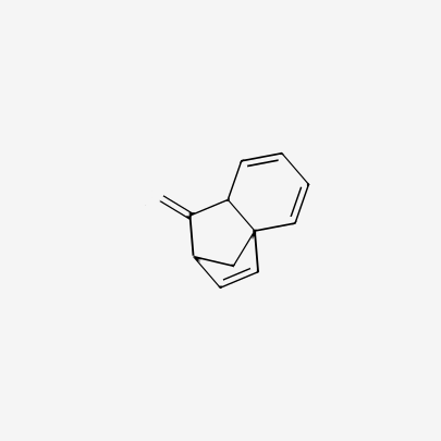 C=C1C2C=CC3(C=CC=CC13)C2